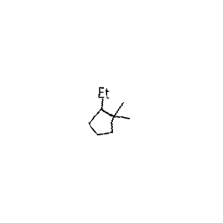 [CH2]CC1CCCC1(C)C